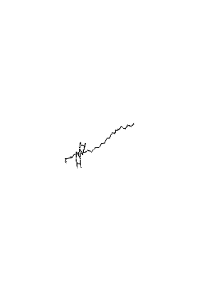 CCCCCCCCCCCCCCCCCCNNCCCC